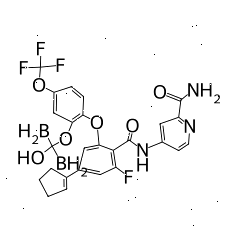 BC(B)(O)Oc1cc(OC(F)(F)F)ccc1Oc1cc(C2=CCCC2)cc(F)c1C(=O)Nc1ccnc(C(N)=O)c1